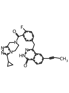 CC#Cc1ccc2c(=O)[nH]nc(Cc3ccc(F)c(C(=O)N4CCn5c(nnc5C5CC5)C4)c3)c2c1